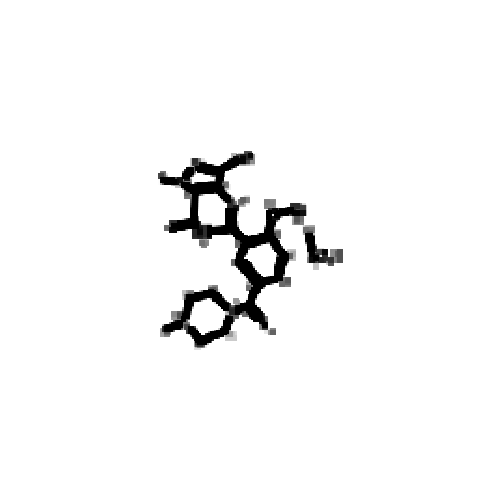 CCCc1nn(C)c2c(=S)[nH]c(-c3cc(C(=S)N4CCN(C)CC4)ccc3OCC)nc12.CS(=O)(=O)O